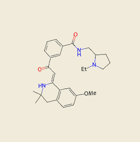 CCN1CCCC1CNC(=O)c1cccc(C(=O)C=C2NC(C)(C)Cc3ccc(OC)cc32)c1